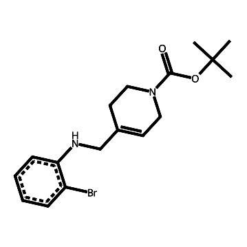 CC(C)(C)OC(=O)N1CC=C(CNc2ccccc2Br)CC1